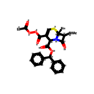 CCC(=O)OOC(=O)C1=CS[C@@H]2C(NC(C)=O)C(=O)N2C1C(=O)OC(c1ccccc1)c1ccccc1